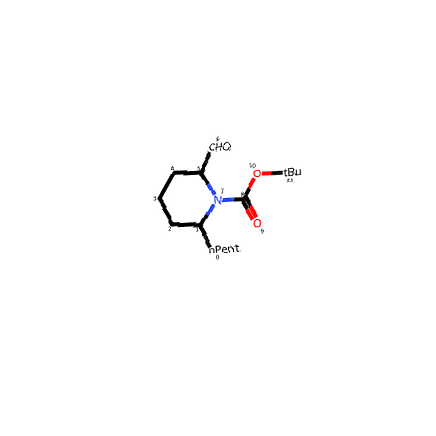 CCCCCC1CCCC(C=O)N1C(=O)OC(C)(C)C